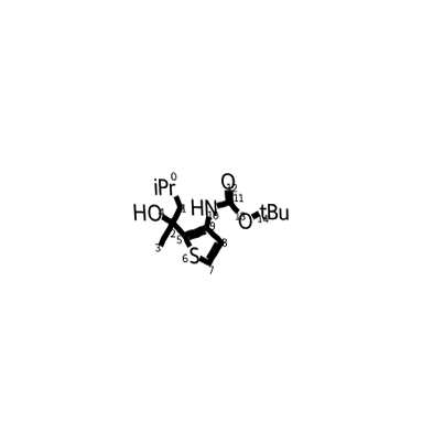 CC(C)CC(C)(O)c1sccc1NC(=O)OC(C)(C)C